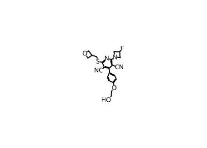 N#Cc1c(SCC2COC2)nc(N2CC(F)C2)c(C#N)c1-c1ccc(OCCO)cc1